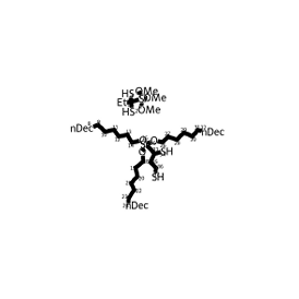 CCC(S)(S)[Si](OC)(OC)OC.CCCCCCCCCCCCCCCCO[Si](OCCCCCCCCCCCCCCCC)(OCCCCCCCCCCCCCCCC)C(S)CCS